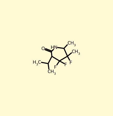 CC(C)C1C(=O)NC(C)C(C)(F)C1(F)F